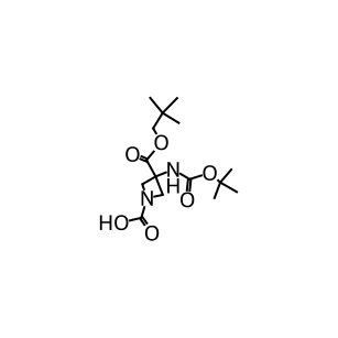 CC(C)(C)COC(=O)C1(NC(=O)OC(C)(C)C)CN(C(=O)O)C1